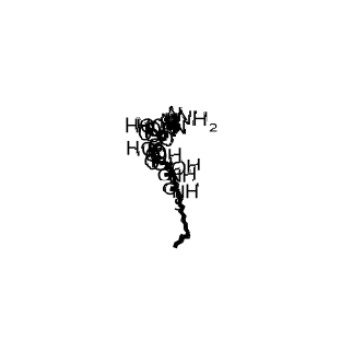 CC/C=C/C=C\CCCCCCSCCNC(=O)CCNC(=O)[C@H](O)C(C)(C)COP(=O)(O)OP(=O)(O)OC[C@H]1O[C@@H](n2cnc3c(N)ncnc32)[C@H](O)[C@@H]1OP(=O)(O)O